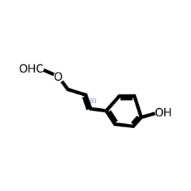 O=COC/C=C/c1ccc(O)cc1